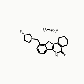 CS(=O)(=O)O.O=c1[nH]c2c(c3c1CCCC3)Cc1c(CN3CC[C@@H](F)C3)cccc1-2